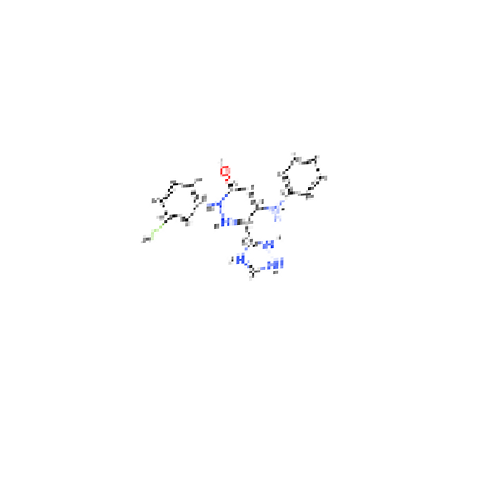 O=c1cc(Nc2ccccc2)c(-c2nc[nH]n2)nn1-c1cccc(F)c1